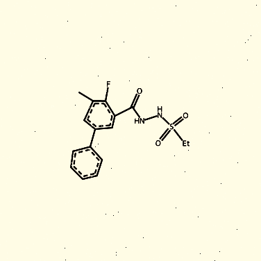 CCS(=O)(=O)NNC(=O)c1cc(-c2ccccc2)cc(C)c1F